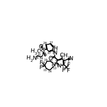 Cc1c(C#N)c(C(F)(F)F)nc(N2CCCC(F)(F)CC2)c1C(=O)Nc1cccc([S@@](C)(=O)=NCCN)c1